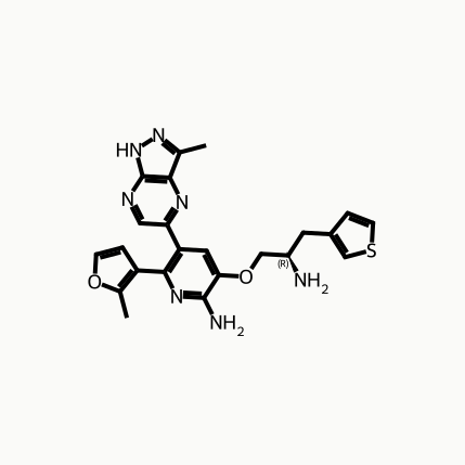 Cc1occc1-c1nc(N)c(OC[C@H](N)Cc2ccsc2)cc1-c1cnc2[nH]nc(C)c2n1